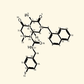 CC(C)[C@H]1C(=O)N(Cc2cccc3ccccc23)C[C@H]2N1C(=O)CN(C)N2C(=O)NCc1ccc(F)cc1